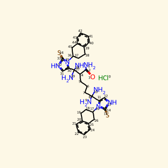 Cl.NC(=O)C(CCCC(N)(N)c1c[nH]c(=S)n1C1CCc2ccccc2C1)C(N)(N)c1c[nH]c(=S)n1C1CCc2ccccc2C1